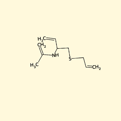 C=CCSCC(C=C)NC(=C)C